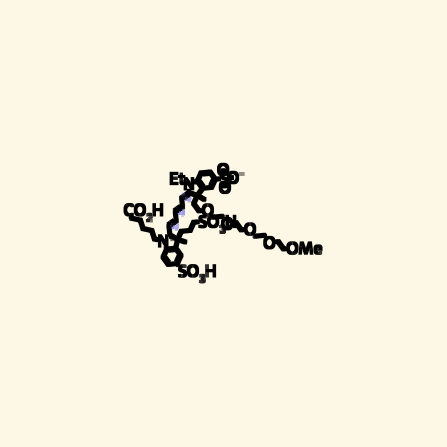 CCN1/C(=C/C=C/C=C/C2=[N+](CCCCCC(=O)O)c3ccc(S(=O)(=O)O)cc3C2(C)CCCS(=O)(=O)O)C(C)(CCOCCOCCOCCOCCOC)c2cc(S(=O)(=O)[O-])ccc21